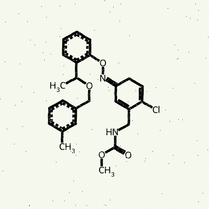 COC(=O)NCC1=CC(=NOc2ccccc2C(C)OCc2cccc(C)c2)CC=C1Cl